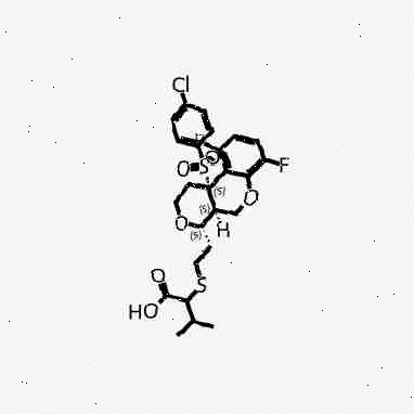 CC(C)C(SCC[C@@H]1OCC[C@@]2(S(=O)(=O)c3ccc(Cl)cc3)c3c(F)ccc(F)c3OC[C@@H]12)C(=O)O